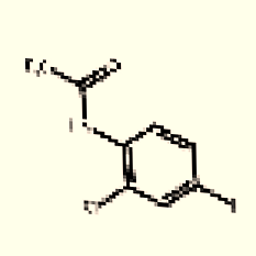 O=C(Nc1ccc(I)cc1Cl)C(F)(F)F